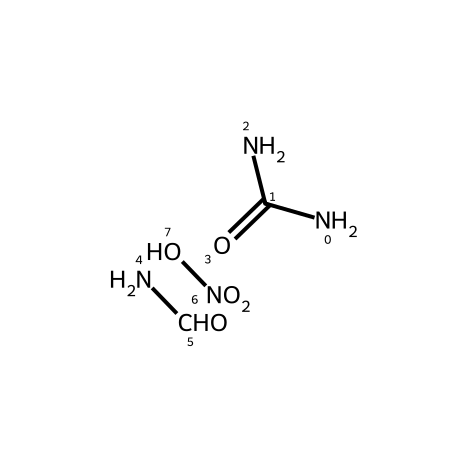 NC(N)=O.NC=O.O=[N+]([O-])O